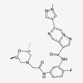 C[C@@H]1CN(CC(=O)Nc2ccc(F)c(NC(=O)c3cnn4cc(-c5cnn(C)c5)ncc34)c2)C[C@@H](C)O1